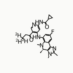 [2H]C([2H])([2H])CC(=O)c1cnc(NC(=O)C2CC2)cc1Nc1cc(F)cc2c1N(C)[C@H](C)c1c-2nc(C)n1C